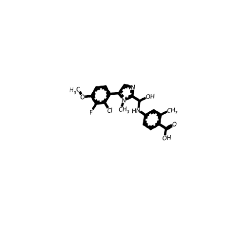 COc1ccc(-c2cnc(C(O)Nc3ccc(C(=O)O)c(C)c3)n2C)c(Cl)c1F